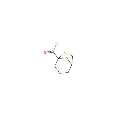 O=C(Cl)C12CCCC(CS1)C2